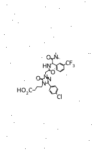 CN(C)C(=O)C(NC(=O)Cn1nc(-c2ccc(Cl)cc2)n(CCCC(=O)O)c1=O)c1cccc(C(F)(F)F)c1